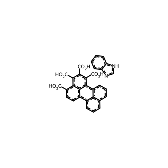 O=C(O)c1c(C(=O)O)c2c(C(=O)O)ccc3c4cccc5cccc(c(c1C(=O)O)c23)c54.c1ccc2[nH]cnc2c1